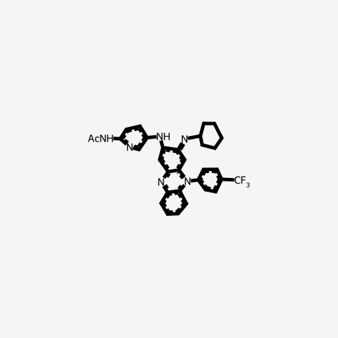 CC(=O)Nc1ccc(Nc2cc3nc4ccccc4n(-c4ccc(C(F)(F)F)cc4)c-3c/c2=N\C2CCCCC2)cn1